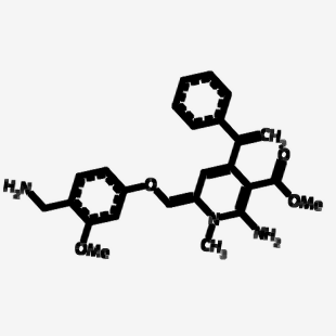 C=C(C1=CC(=COc2ccc(CN)c(OC)c2)N(C)C(N)=C1C(=O)OC)c1ccccc1